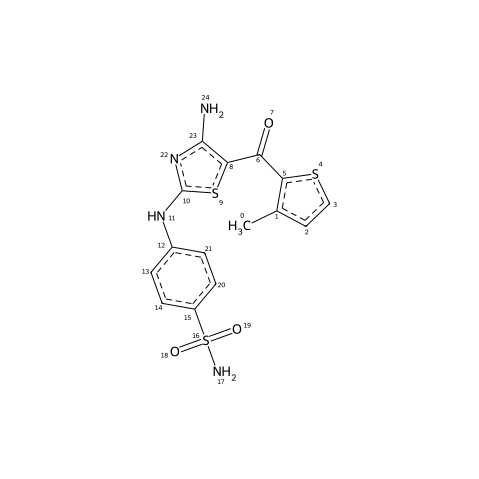 Cc1ccsc1C(=O)c1sc(Nc2ccc(S(N)(=O)=O)cc2)nc1N